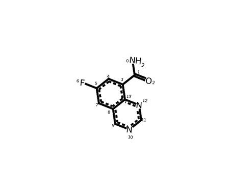 NC(=O)c1cc(F)cc2cncnc12